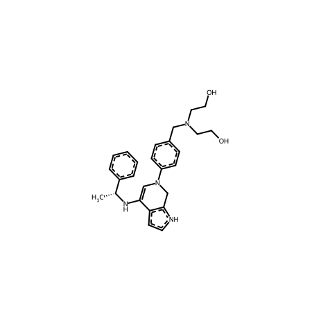 C[C@@H](NC1=CN(c2ccc(CN(CCO)CCO)cc2)Cc2[nH]ccc21)c1ccccc1